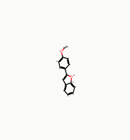 CC(C)Oc1ccc(-c2cc3ccccc3o2)cc1